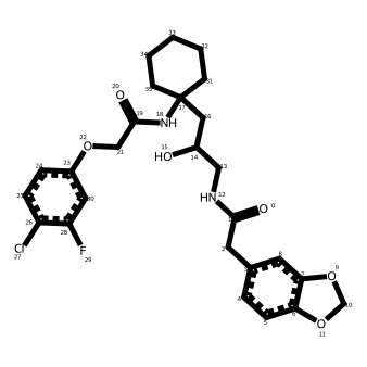 O=C(Cc1ccc2c(c1)OCO2)NCC(O)CC1(NC(=O)COc2ccc(Cl)c(F)c2)CCCCC1